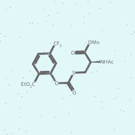 CCOC(=O)c1ccc(C(F)(F)F)cc1OC(=O)SC[C@H](NC(C)=O)C(=O)OC